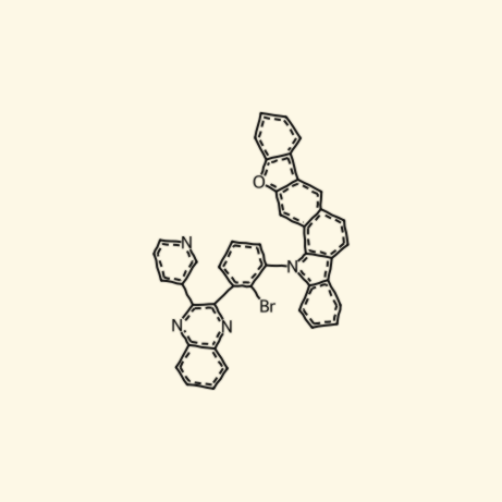 Brc1c(-c2nc3ccccc3nc2-c2cccnc2)cccc1-n1c2ccccc2c2ccc3cc4c(cc3c21)oc1ccccc14